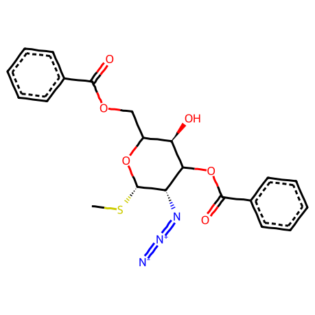 CS[C@@H]1OC(COC(=O)c2ccccc2)[C@@H](O)C(OC(=O)c2ccccc2)[C@@H]1N=[N+]=[N-]